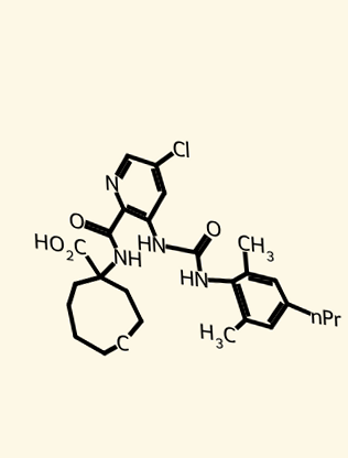 CCCc1cc(C)c(NC(=O)Nc2cc(Cl)cnc2C(=O)NC2(C(=O)O)CCCCCCC2)c(C)c1